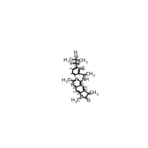 Cc1nc(N[C@H](C)c2cccc(C(F)(F)C(C)(C)O)c2F)c2cc3c(cc2n1)N(C)C(=O)[C@@H]3C